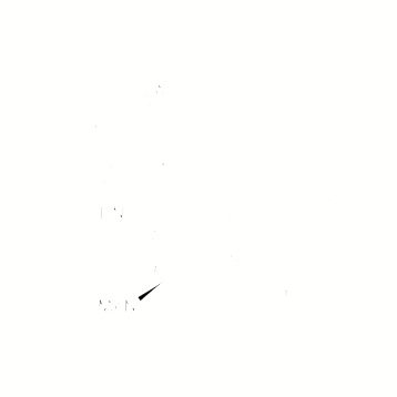 CN[C@H](Cc1ccccc1)C(=O)NC(C)(C)COC(C)=O